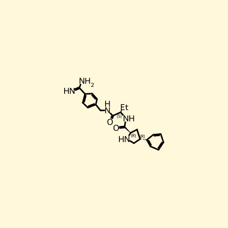 CC[C@H](NC(=O)[C@H]1C[C@H](c2ccccc2)CN1)C(=O)NCc1ccc(C(=N)N)cc1